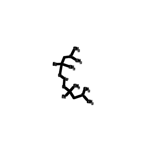 CCC(C)(CN(C)C)[O][Sn][O]C(C)(CC)CN(C)C